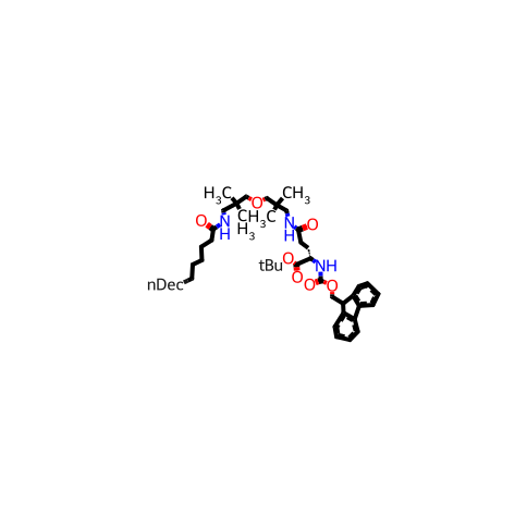 CCCCCCCCCCCCCCCC(=O)NCC(C)(C)COCC(C)(C)CNC(=O)CC[C@H](NC(=O)OCC1c2ccccc2-c2ccccc21)C(=O)OC(C)(C)C